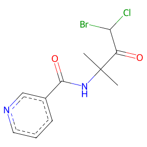 CC(C)(NC(=O)c1cccnc1)C(=O)C(Cl)Br